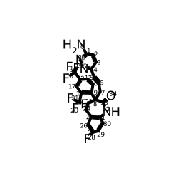 Nc1ccc(C#CCC2(c3ccc(C(F)(F)F)cc3C(F)(F)F)CCc3cc(F)ccc3NC2=O)nn1